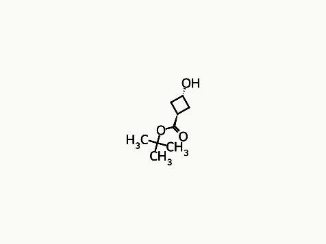 CC(C)(C)OC(=O)[C@H]1C[C@H](O)C1